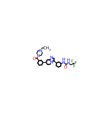 CCN1CCN(C(=O)c2cccc(-c3ccn4c(-c5cccc(NC(=O)NCC(F)(F)F)c5)cnc4c3)c2)CC1